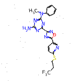 CN(c1ccccc1)c1nc(N)nc(-c2noc(-c3ccc(SCCC(F)(F)F)nc3)n2)n1